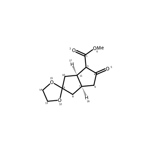 COC(=O)C1C(=O)C[C@H]2CC3(C[C@@H]12)OCCO3